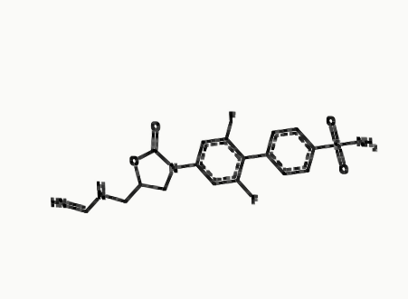 N=CNCC1CN(c2cc(F)c(-c3ccc(S(N)(=O)=O)cc3)c(F)c2)C(=O)O1